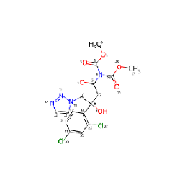 COC(=O)N(C(=O)CC(O)(Cn1ccnn1)c1ccc(Cl)cc1Cl)C(=O)OC